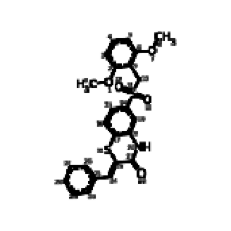 COc1cccc(OC)c1CS(=O)(=O)c1ccc2c(c1)NC(=O)/C(=C/c1ccccc1)S2